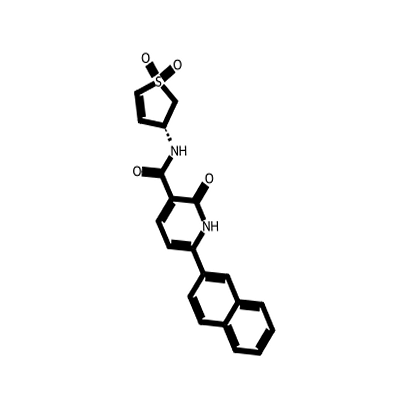 O=C(N[C@@H]1C=CS(=O)(=O)C1)c1ccc(-c2ccc3ccccc3c2)[nH]c1=O